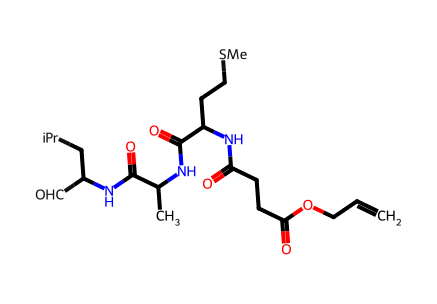 C=CCOC(=O)CCC(=O)NC(CCSC)C(=O)NC(C)C(=O)NC(C=O)CC(C)C